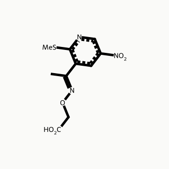 CSc1ncc([N+](=O)[O-])cc1/C(C)=N/OCC(=O)O